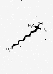 CCCCCCCCCC(C)(C)S